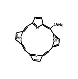 COc1c2nc(cc3ccc(cc4nc(cc5ccc1[nH]5)C=C4)[nH]3)C=C2